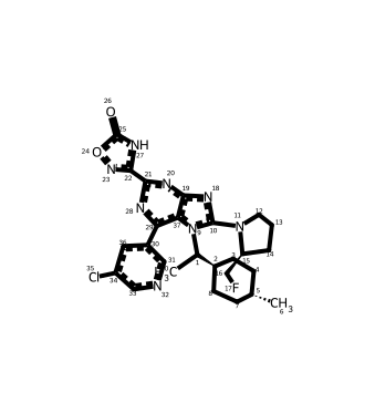 CC([C@H]1CC[C@H](C)CC1)n1c(N2CCC[C@H]2CF)nc2nc(-c3noc(=O)[nH]3)nc(-c3cncc(Cl)c3)c21